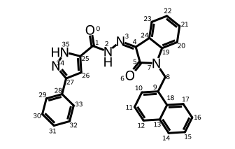 O=C(N/N=C1\C(=O)N(Cc2cccc3ccccc23)c2ccccc21)c1cc(-c2ccccc2)n[nH]1